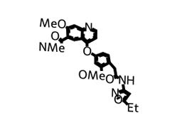 CCc1cc(NC(=O)Cc2ccc(Oc3ccnc4cc(OC)c(C(=O)NC)cc34)cc2OC)no1